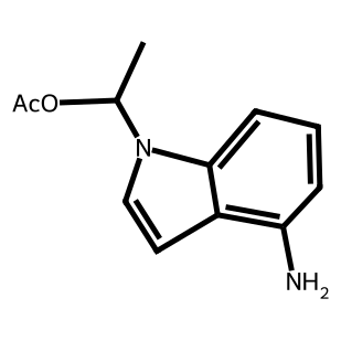 CC(=O)OC(C)n1ccc2c(N)cccc21